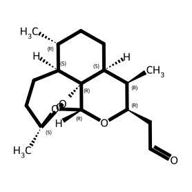 C[C@H]1[C@@H](CC=O)O[C@@H]2O[C@]3(C)CC[C@H]4[C@H](C)CC[C@@H]1[C@@]24OO3